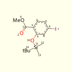 COC(=O)c1ccc(I)cc1O[Si](C)(C)C(C)(C)C